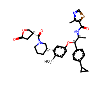 Cc1ncsc1C(=O)N[C@@H](C)[C@H](Oc1ccc(C(=O)O)c([C@@H]2CCCN(C(=O)[C@H]3COC(=O)C3)C2)c1)c1ccc(C2CC2)cc1